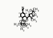 Cn1nc(C(C)(C)C)cc1C(=O)c1cc(C#N)ccc1B1OC(C)(C)C(C)(C)O1